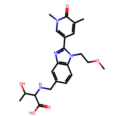 COCCn1c(-c2cc(C)c(=O)n(C)c2)nc2cc(CNC(C(=O)O)C(C)O)ccc21